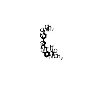 CNC(=O)c1ccc(-c2cc3c(s2)CN(Cc2ccc4nc(C)c(=O)[nH]c4c2F)C3)cn1